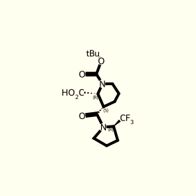 CC(C)(C)OC(=O)N1CCC[C@H](C(=O)N2CCC[C@@H]2C(F)(F)F)[C@@H]1C(=O)O